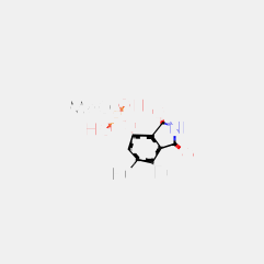 CCc1ccc2c(c1CC)C(=O)NC2=O.COP(=O)(O)O